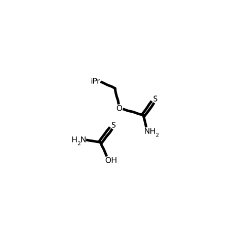 CC(C)COC(N)=S.NC(O)=S